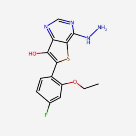 CCOc1cc(F)ccc1-c1sc2c(NN)ncnc2c1O